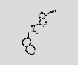 N#Cc1csc2c(NC(=O)Cc3ccc4ccccc4c3)ncn12